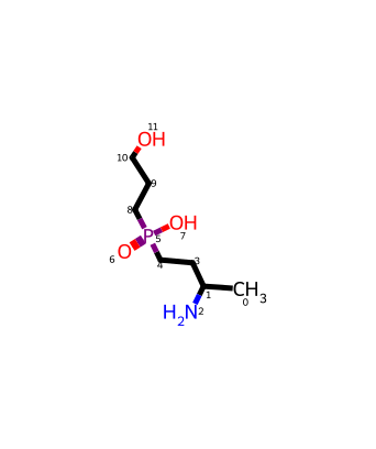 CC(N)CCP(=O)(O)CCCO